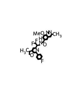 COc1cc(C(=O)NCC(c2cc3c(c(-c4ccc(F)cc4)n2)OCC3C)C(F)F)cc2cc(C)nnc12